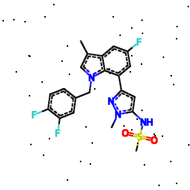 Cc1cn(Cc2ccc(F)c(F)c2)c2c(-c3cc(NS(C)(=O)=O)n(C)n3)cc(F)cc12